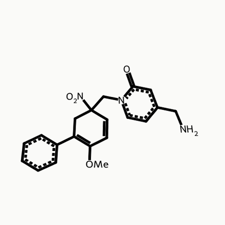 COC1=C(c2ccccc2)CC(Cn2ccc(CN)cc2=O)([N+](=O)[O-])C=C1